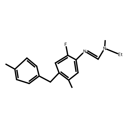 CCN(C)C=Nc1cc(C)c(Cc2ccc(C)cc2)cc1F